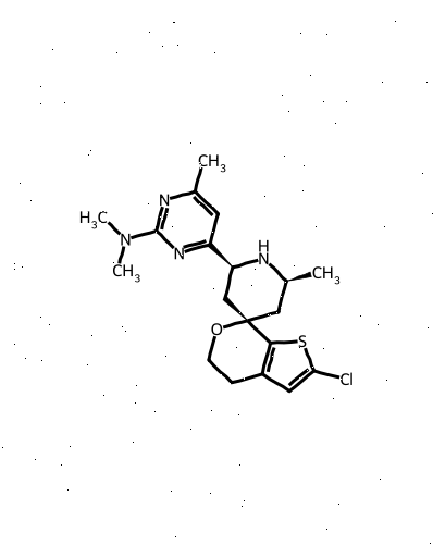 Cc1cc([C@@H]2C[C@]3(C[C@H](C)N2)OCCc2cc(Cl)sc23)nc(N(C)C)n1